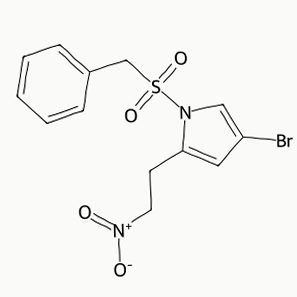 O=[N+]([O-])CCc1cc(Br)cn1S(=O)(=O)Cc1ccccc1